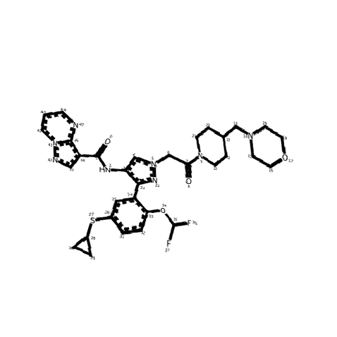 O=C(Nc1cn(CC(=O)N2CCC(CN3CCOCC3)CC2)nc1-c1cc(SC2CC2)ccc1OC(F)F)c1cnn2cccnc12